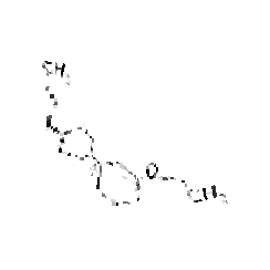 CCCC[C@H]1CC[C@@H]([C@@H]2CCC[C@@H](OCCC)C2)CC1